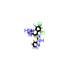 Fc1cc(-c2nc(Nc3ccccn3)sc2-c2nc[nH]n2)c(Cl)cc1Cl